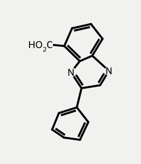 O=C(O)c1cccc2ncc(-c3ccccc3)nc12